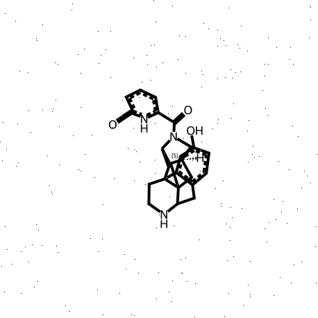 O=C(c1cccc(=O)[nH]1)N1C[C@H]2CC34CCC1C2C31CCNC4Cc2ccc(O)cc21